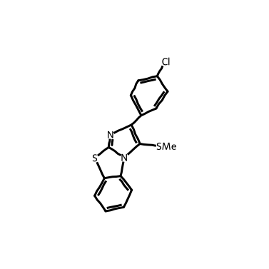 CSc1c(-c2ccc(Cl)cc2)nc2sc3ccccc3n12